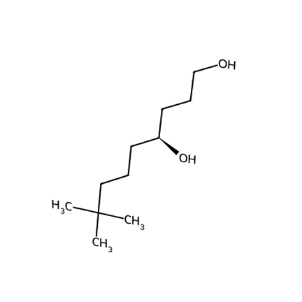 CC(C)(C)CCC[C@H](O)CCCO